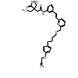 C#CCOc1ccc(CCCCOCc2cccc(C=Cc3cccc(NC(=O)CC(CC)(CC)C(=O)O)c3)n2)cc1